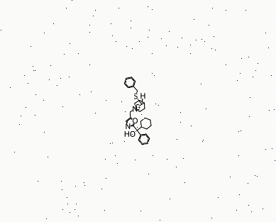 O[C@](c1ccccc1)(c1ncc(C[N+]23CCC(CC2)[C@@H](SCc2ccccc2)C3)o1)C1CCCCC1